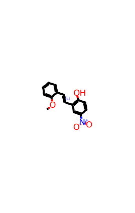 COc1ccccc1/C=C/c1cc([N+](=O)[O-])ccc1O